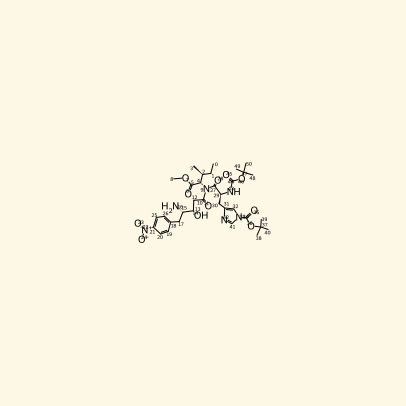 CC[C@H](C)[C@@H](C(=O)OC)N(C(=O)CC(O)[C@@H](N)Cc1ccc([N+](=O)[O-])cc1)C(=O)[C@H](Cc1cn(C(=O)OC(C)(C)C)cn1)NC(=O)OC(C)(C)C